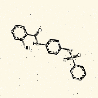 Nc1ccccc1C(=O)Nc1ccc(NS(=O)(=O)c2ccccc2)cc1